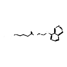 O=C(O)CCCCC(=O)OCCNc1cccc2ccccc12